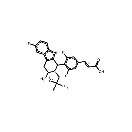 CC1Cc2c([nH]c3ccc(F)cc23)C(c2c(F)cc(/C=C/C(=O)O)cc2F)N1CC(C)(C)F